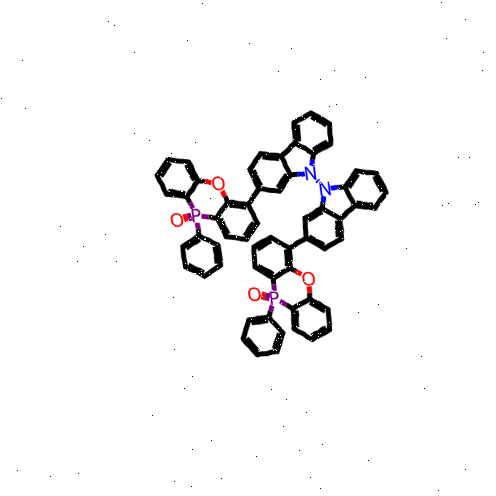 O=P1(c2ccccc2)c2ccccc2Oc2c(-c3ccc4c5ccccc5n(-n5c6ccccc6c6ccc(-c7cccc8c7Oc7ccccc7P8(=O)c7ccccc7)cc65)c4c3)cccc21